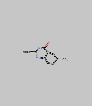 CCCCCCCc1nc2ccc(C(=O)O)cc2c(=O)[nH]1